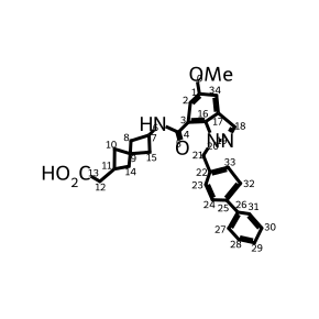 COc1cc(C(=O)NC2CC3(CC(CC(=O)O)C3)C2)c2c(cnn2Cc2ccc(-c3ccccc3)cc2)c1